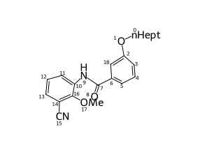 CCCCCCCOc1cccc(C(=O)Nc2cccc(C#N)c2OC)c1